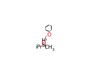 CC(C)[SiH](C)OCCOc1ccccc1